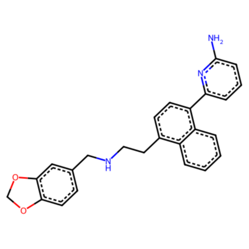 Nc1cccc(-c2ccc(CCNCc3ccc4c(c3)OCO4)c3ccccc23)n1